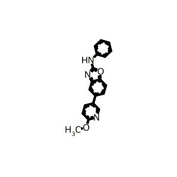 COc1ccc(-c2ccc3oc(Nc4ccccc4)nc3c2)cn1